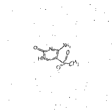 CS(=O)(=O)c1c[nH]c(=O)nc1N